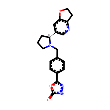 O=c1[nH]nc(-c2ccc(CN3CCC[C@@H]3c3cnc4c(c3)OCC4)cc2)o1